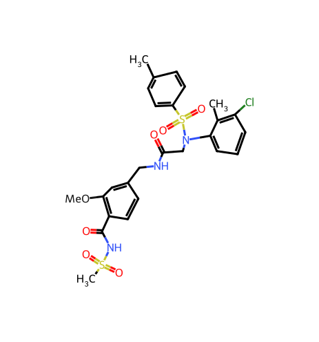 COc1cc(CNC(=O)CN(c2cccc(Cl)c2C)S(=O)(=O)c2ccc(C)cc2)ccc1C(=O)NS(C)(=O)=O